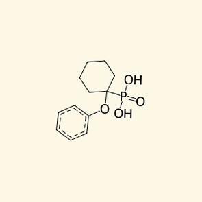 O=P(O)(O)C1(Oc2ccccc2)CCCCC1